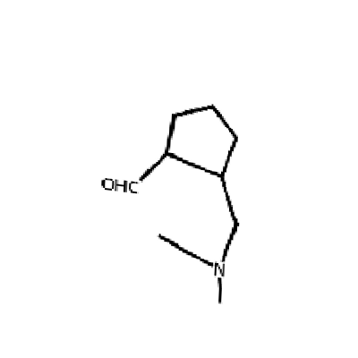 CN(C)CC1CCCC1C=O